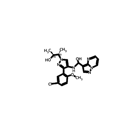 COc1ccc(Cl)cc1-c1nn([C@@H](C)[C@H](C)O)cc1NC(O)c1cnn2cccnc12